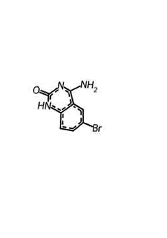 Nc1nc(=O)[nH]c2ccc(Br)cc12